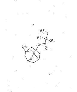 CCC(C)(C)C(=O)OC12CC3CC(CC(C)(C3)C1)OO2